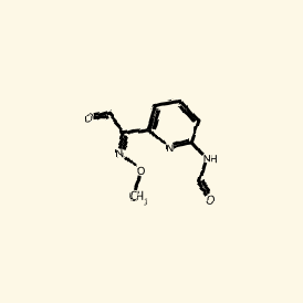 CO/N=C(/[C]=O)c1cccc(NC=O)n1